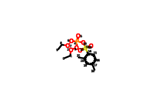 CCOOP(=O)(OOCC)OS(=O)(=O)c1ccc(C)cc1C